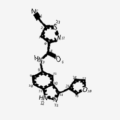 N#Cc1cc(C(=O)Nc2ccc3[nH]nc(-c4ccoc4)c3c2)ns1